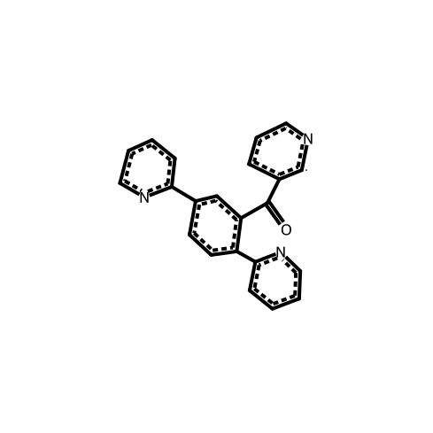 O=C(c1[c]nccc1)c1cc(-c2ccccn2)ccc1-c1ccccn1